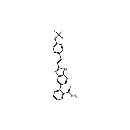 NC(=O)c1ccccc1-c1ccc2[nH]c(C=Cc3ccc(SC(F)(F)F)cc3)nc2c1